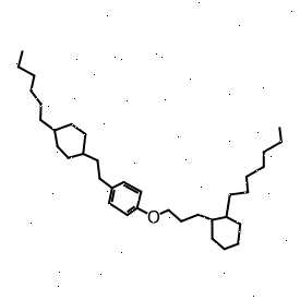 CCCCCCCC1CCCCC1CCCOc1ccc(CCC2CCC(CCCCCC)CC2)cc1